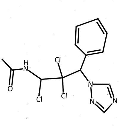 CC(=O)NC(Cl)C(Cl)(Cl)C(c1ccccc1)n1cncn1